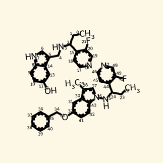 CCC(NCc1c[nH]c2ccc(O)cc12)c1ccncc1F.CCC(Nn1cc(C)c2cc(OCc3ccccc3)ccc21)c1ccncc1F